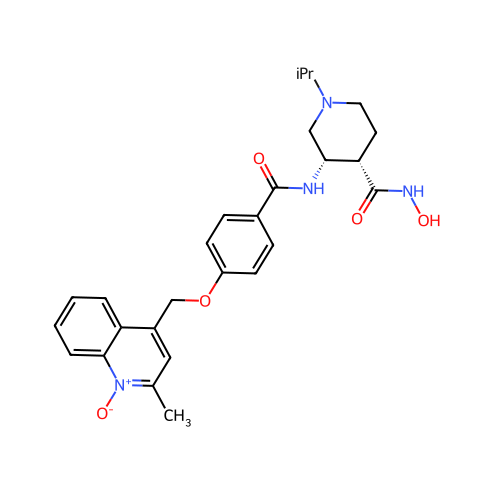 Cc1cc(COc2ccc(C(=O)N[C@@H]3CN(C(C)C)CC[C@@H]3C(=O)NO)cc2)c2ccccc2[n+]1[O-]